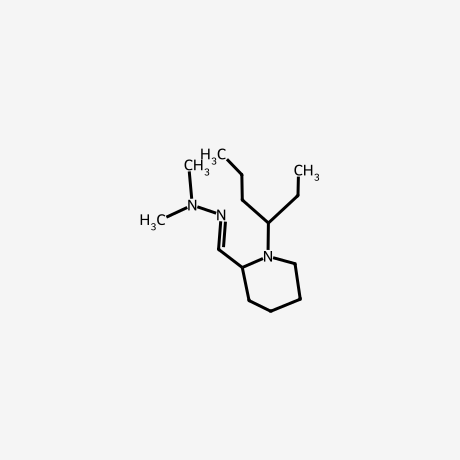 CCCC(CC)N1CCCCC1C=NN(C)C